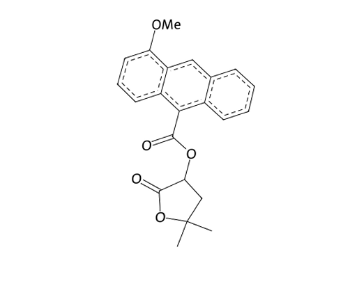 COc1cccc2c(C(=O)OC3CC(C)(C)OC3=O)c3ccccc3cc12